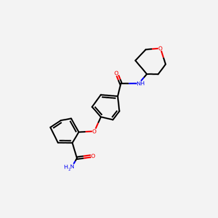 NC(=O)c1ccccc1Oc1ccc(C(=O)NC2CCOCC2)cc1